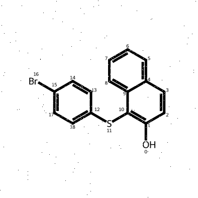 Oc1ccc2ccccc2c1Sc1ccc(Br)cc1